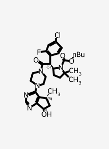 CCCCOC(=O)N1C([C@@H](C(=O)N2CCN(c3ncnc4c3[C@H](C)C[C@H]4O)CC2)c2ccc(Cl)cc2F)CCC1(C)C